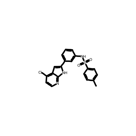 Cc1ccc(S(=O)(=O)Nc2cccc(-c3cc4c(Cl)ccnc4[nH]3)c2)cc1